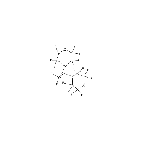 FC(F)=C(N1C(F)(F)C(F)(F)OC(F)(F)C1(F)F)N1C(F)(F)C(F)(F)OC(F)(F)C1(F)F